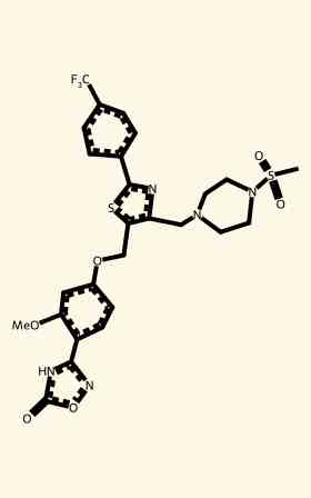 COc1cc(OCc2sc(-c3ccc(C(F)(F)F)cc3)nc2CN2CCN(S(C)(=O)=O)CC2)ccc1-c1noc(=O)[nH]1